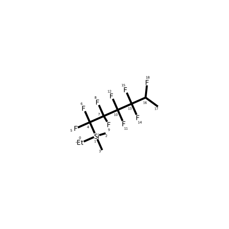 C[CH][Si](C)(C)C(F)(F)C(F)(F)C(F)(F)C(F)(F)C(C)F